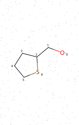 [O]CC1CCCS1